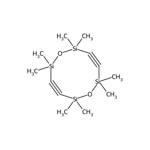 C[Si]1(C)C#C[Si](C)(C)O[Si](C)(C)C#C[Si](C)(C)O1